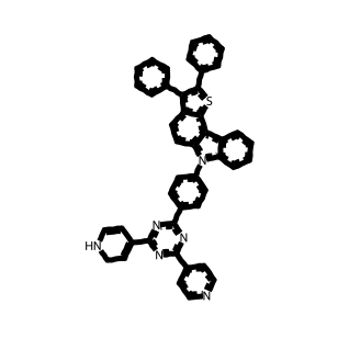 C1=CC(c2nc(-c3ccncc3)nc(-c3ccc(-n4c5ccccc5c5c6sc(-c7ccccc7)c(-c7ccccc7)c6ccc54)cc3)n2)=CCN1